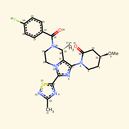 CO[C@H]1CCN(c2nc(-c3nc(C)ns3)n3c2[C@@H](C)N(C(=O)c2ccc(F)cc2)CC3)C(=O)C1